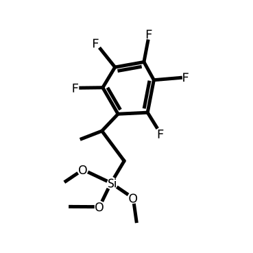 CO[Si](CC(C)c1c(F)c(F)c(F)c(F)c1F)(OC)OC